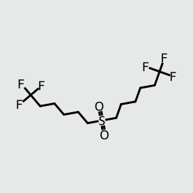 O=S(=O)(CCCCCC(F)(F)F)CCCCCC(F)(F)F